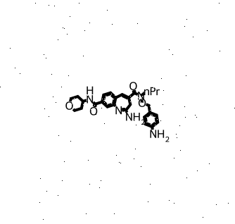 CCCN(OCc1ccc(N)cc1)C(=O)C1=Cc2ccc(C(=O)NC3CCOCC3)cc2N=C(N)C1